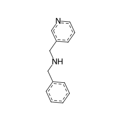 c1ccc(CNCc2cccnc2)cc1